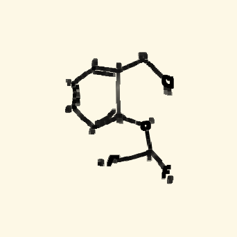 FC(F)Oc1ccccc1CCl